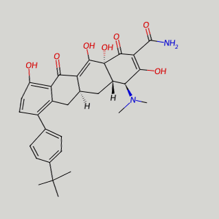 CN(C)[C@@H]1C(O)=C(C(N)=O)C(=O)[C@]2(O)C(O)=C3C(=O)c4c(O)ccc(-c5ccc(C(C)(C)C)cc5)c4C[C@@H]3C[C@@H]12